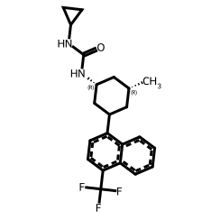 C[C@@H]1CC(c2ccc(C(F)(F)F)c3ccccc23)C[C@H](NC(=O)NC2CC2)C1